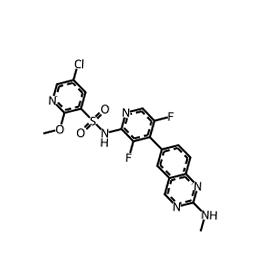 CNc1ncc2cc(-c3c(F)cnc(NS(=O)(=O)c4cc(Cl)cnc4OC)c3F)ccc2n1